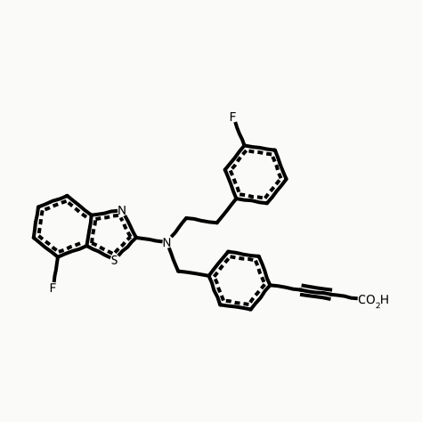 O=C(O)C#Cc1ccc(CN(CCc2cccc(F)c2)c2nc3cccc(F)c3s2)cc1